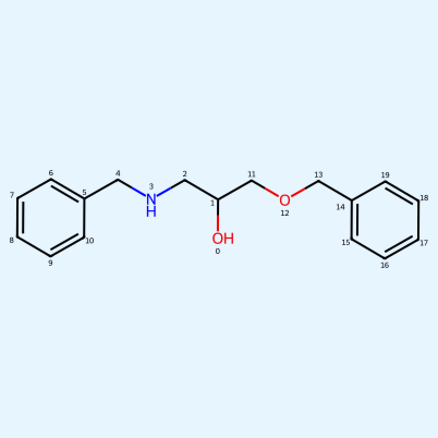 OC(CNCc1ccccc1)COCc1ccccc1